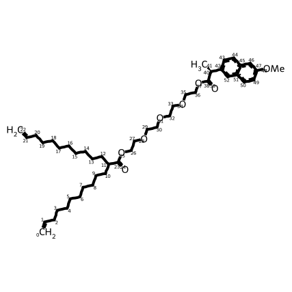 C=CCCCCCCCCCC(CCCCCCCCCC=C)C(=O)OCCOCCOCCOCCOC(=O)[C@@H](C)c1ccc2cc(OC)ccc2c1